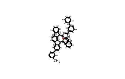 Cc1cccc(-c2ccc3c(c2)c2ccc4c(c2n3-c2ccccc2)C(c2nc(-c3ccccc3)nc(-c3cccc(-c5ccccc5)c3)n2)c2ccccc2-4)c1